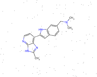 Cc1nc2c(-c3cc4ccc(CN(C)C)cc4[nH]3)ccnc2[nH]1